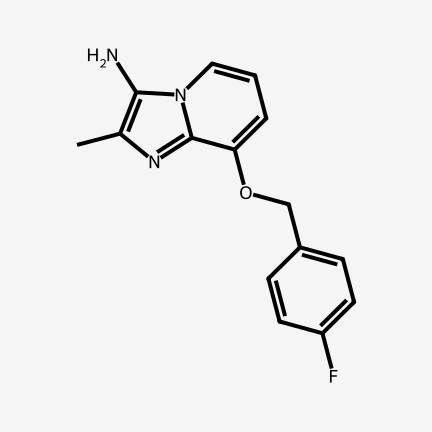 Cc1nc2c(OCc3ccc(F)cc3)cccn2c1N